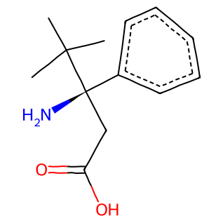 CC(C)(C)[C@@](N)(CC(=O)O)c1ccccc1